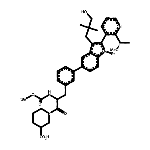 CCn1c(-c2cccnc2[C@H](C)OC)c(CC(C)(C)CO)c2cc(-c3cccc(CC(NC(=O)OC(C)(C)C)C(=O)N4CCCC(C(=O)O)C4)c3)ccc21